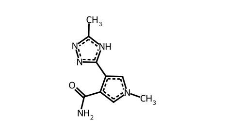 Cc1nnc(-c2cn(C)cc2C(N)=O)[nH]1